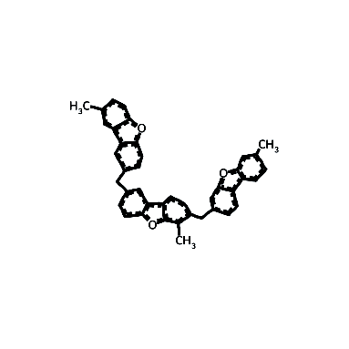 Cc1ccc2c(c1)oc1cc(Cc3ccc4c(oc5ccc(Cc6ccc7oc8ccc(C)cc8c7c6)cc54)c3C)ccc12